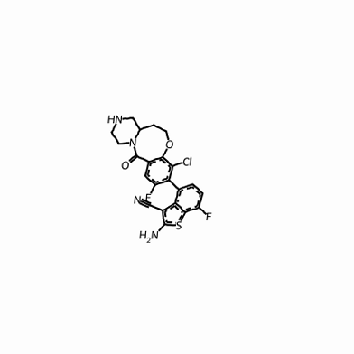 N#Cc1c(N)sc2c(F)ccc(-c3c(F)cc4c(c3Cl)OCCC3CNCCN3C4=O)c12